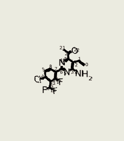 C=Cc1c(N)nc(-c2ccc(Cl)c(C(F)F)c2F)nc1C(C)=O